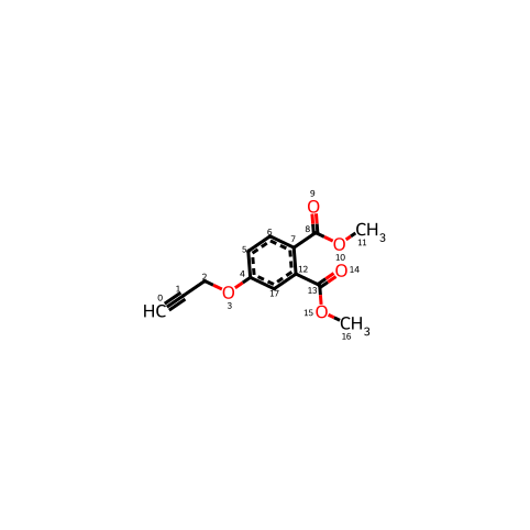 C#CCOc1ccc(C(=O)OC)c(C(=O)OC)c1